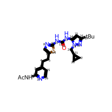 CC(=O)Nc1cc(CCc2cnc(NC(=O)Nc3cc(C(C)(C)C)nn3CC3CC3)s2)ccn1